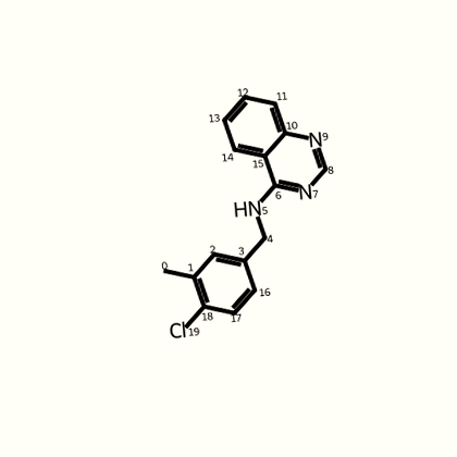 Cc1cc(CNc2ncnc3ccccc23)ccc1Cl